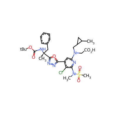 CC1CC1CN(CC(=O)O)c1cc(-c2nnc([C@@](C)(Cc3ccccc3)NC(=O)OC(C)(C)C)o2)c(Cl)c(N(C)S(C)(=O)=O)n1